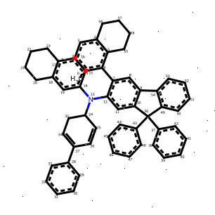 Cc1ccc2c(c1-c1cc3c(cc1N(c1ccc4c(c1)CCCC4)C1C=CC(c4ccccc4)=CC1)C(c1ccccc1)(c1ccccc1)c1ccccc1-3)CCCC2